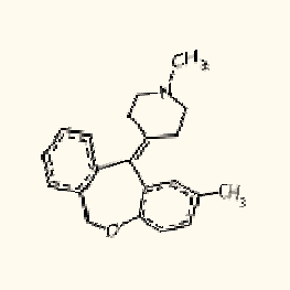 Cc1ccc2c(c1)C(=C1CCN(C)CC1)c1ccccc1CO2